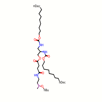 CCCCCCCCCCCCCCCCCCOC(=O)NCC(COC(=O)CCC(=O)NCCP(C)OCCCC)NC(=O)OCCCCCCCCCCCCCCCCCC